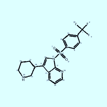 O=S(=O)(c1ccc(C(F)(F)F)cc1)n1cc(C2CCCNC2)c2cccnc21